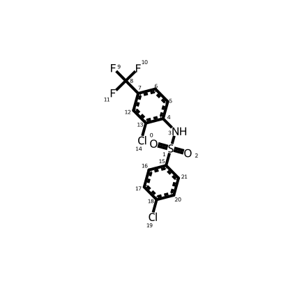 O=S(=O)(Nc1ccc(C(F)(F)F)cc1Cl)c1ccc(Cl)cc1